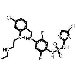 CCNCCNc1cc(Cl)ccc1CNc1cc(F)c(NS(=O)(=O)Nc2ncc(Cl)s2)cc1F